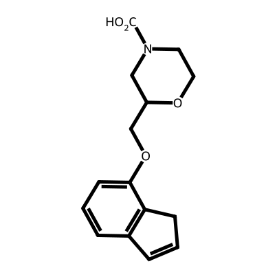 O=C(O)N1CCOC(COc2cccc3c2CC=C3)C1